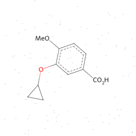 COc1ccc(C(=O)O)cc1OC1CC1